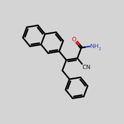 N#CC(C(N)=O)=C(Cc1ccccc1)c1ccc2ccccc2c1